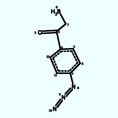 BCC(=O)c1ccc(N=[N+]=[N-])cc1